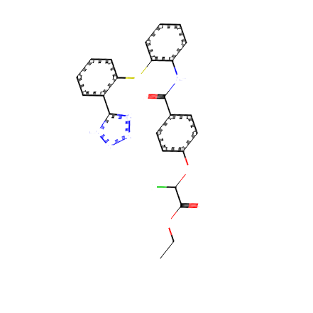 CCOC(=O)C(Cl)Oc1ccc(C(=O)Nc2ccccc2Sc2ccccc2-c2nnn[nH]2)cc1